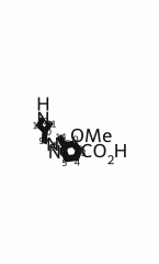 COc1c(C(=O)O)ccc2nn(CC3CNC3)cc12